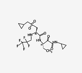 CC[C@H](NC(=O)[C@H](CS(=O)(=O)CC1CC1)NCC(F)(F)C(F)(F)F)C(=O)C(=O)NC1CC1